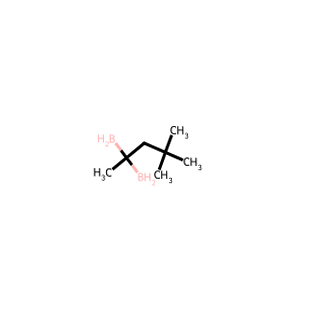 BC(B)(C)CC(C)(C)C